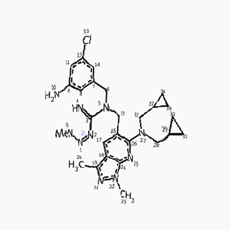 CN/N=N\C(=N)N(Cc1cc(N)cc(Cl)c1)Cc1cc2c(C)nn(C)c2nc1N(CC1CC1)CC1CC1